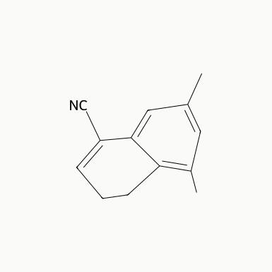 Cc1cc(C)c2c(c1)C(C#N)=CCC2